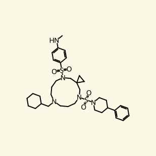 CNc1ccc(S(=O)(=O)N2CCCN(CC3CCCCC3)CCCN(S(=O)(=O)N3CCC(c4ccccc4)CC3)CC3(CC3)C2)cc1